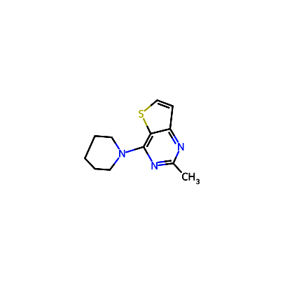 Cc1nc(N2CCCCC2)c2sccc2n1